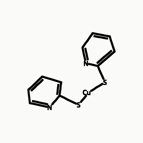 c1ccc([S][Cu][S]c2ccccn2)nc1